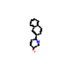 O=C1C=CC(c2ccc3ccccc3c2)=NC1